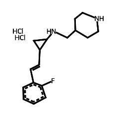 Cl.Cl.Fc1ccccc1C=CC1CC1NCC1CCNCC1